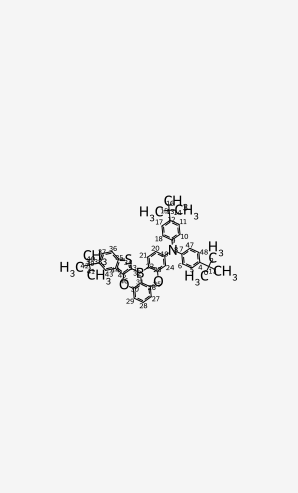 CC(C)(C)c1ccc(N(c2ccc(C(C)(C)C)cc2)c2ccc3c(c2)Oc2cccc4c2B3c2sc3ccc(C(C)(C)C)cc3c2O4)cc1